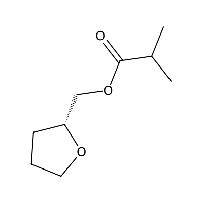 CC(C)C(=O)OC[C@H]1CCCO1